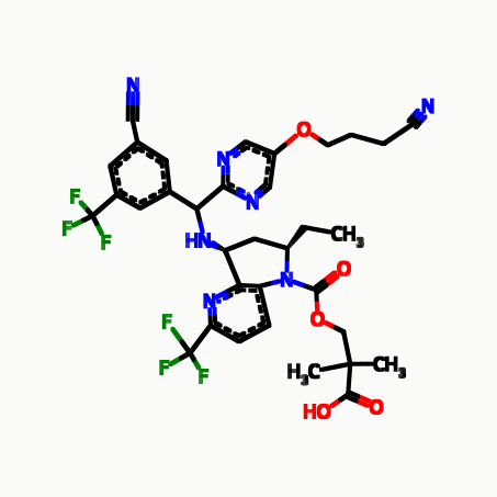 CC[C@@H]1C[C@H](NC(c2cc(C#N)cc(C(F)(F)F)c2)c2ncc(OCCCC#N)cn2)c2nc(C(F)(F)F)ccc2N1C(=O)OCC(C)(C)C(=O)O